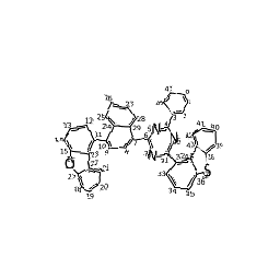 c1ccc(-c2nc(-c3ccc(-c4cccc5oc6ccccc6c45)c4ccccc34)nc(-c3cccc4sc5ccccc5c34)n2)cc1